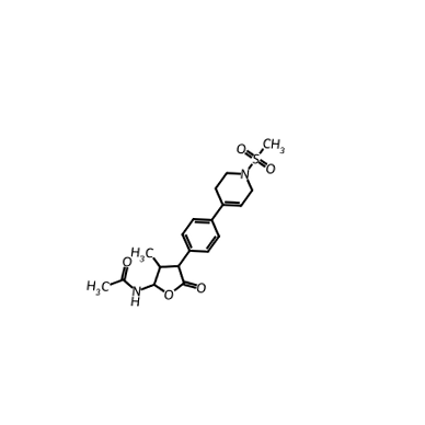 CC(=O)NC1OC(=O)C(c2ccc(C3=CCN(S(C)(=O)=O)CC3)cc2)C1C